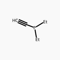 C#CP(CC)CC